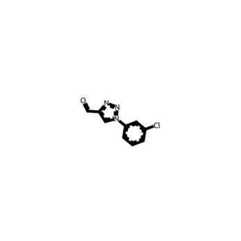 O=Cc1cn(-c2cccc(Cl)c2)nn1